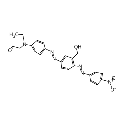 CCN(CC=O)c1ccc(N=Nc2ccc(N=Nc3ccc([N+](=O)[O-])cc3)c(CO)c2)cc1